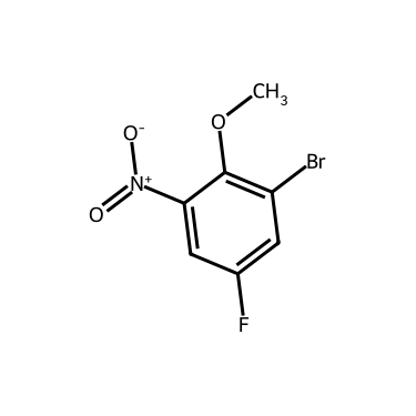 COc1c(Br)cc(F)cc1[N+](=O)[O-]